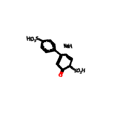 O=C1C=C(c2ccc(S(=O)(=O)O)cc2)C=C[C]1S(=O)(=O)O.[NaH]